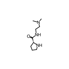 CN(C)CCNC(=O)[C@@H]1CCCN1